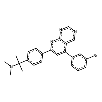 CN(C)C(C)(C)c1ccc(-c2cc(-c3cccc(Br)c3)c3cncnc3n2)cc1